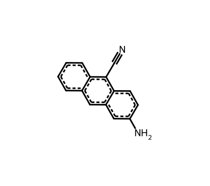 N#Cc1c2ccccc2cc2cc(N)ccc12